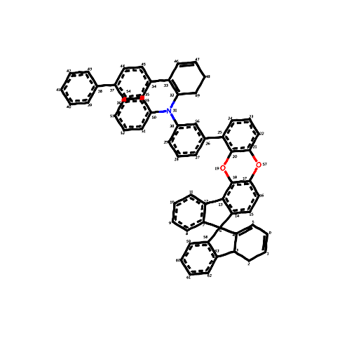 C1=CCC2C(=C1)C1(c3ccccc3-c3c1ccc1c3Oc3c(cccc3-c3cccc(N(C4=C(c5ccc(-c6ccccc6)cc5)C=CCC4)c4ccccc4)c3)O1)c1ccccc12